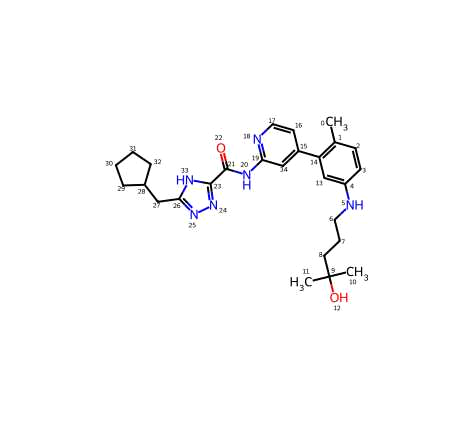 Cc1ccc(NCCCC(C)(C)O)cc1-c1ccnc(NC(=O)c2nnc(CC3CCCC3)[nH]2)c1